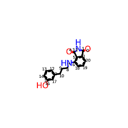 O=C1NC(=O)c2c(NCCCc3cccc(O)c3)cccc21